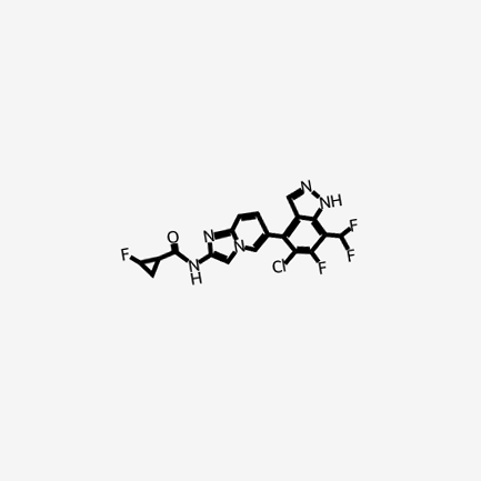 O=C(Nc1cn2cc(-c3c(Cl)c(F)c(C(F)F)c4[nH]ncc34)ccc2n1)C1CC1F